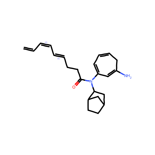 C=C/C=C\C=C\CCC(=O)N(C1=CC=CCC(N)=C1)C1CC2CCC1C2